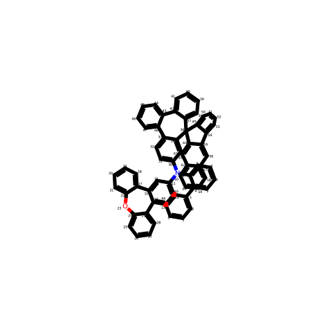 c1ccc(-c2ccccc2N(c2ccc3c(c2)-c2ccccc2Oc2ccccc2-3)c2ccc3c(c2)C2(c4ccccc4-c4ccccc4-3)c3ccccc3-c3cc4ccccc4cc32)cc1